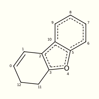 C1=Cc2c(oc3ccccc23)CC1